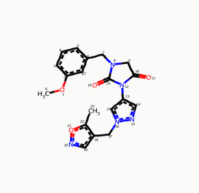 COc1cccc(CN2CC(=O)N(c3cnn(Cc4cnoc4C)c3)C2=O)c1